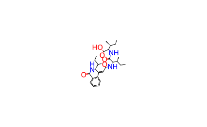 CCC(C)[C@@H]1NC(=O)c2ccccc2/C1=C/C(=O)N[C@H](C(=O)N[C@H](C(=O)O)[C@@H](C)CC)[C@@H](C)CC